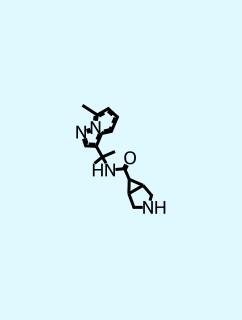 Cc1cccc2c(C(C)(C)NC(=O)C3C4CNCC43)cnn12